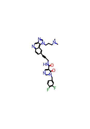 CN(C)CCCn1cnc2cnc3ccc(C#CCNC(=O)c4cncn(Cc5ccc(F)c(F)c5)c4=O)cc3c21